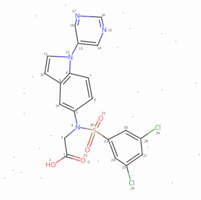 O=C(O)CN(c1ccc2c(ccn2-c2cncnc2)c1)S(=O)(=O)c1cc(Cl)cc(Cl)c1